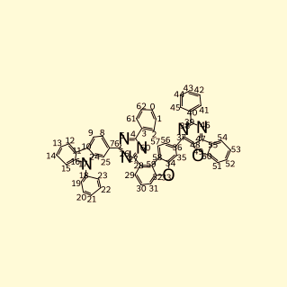 c1ccc(-c2nc(-c3ccc4c5ccccc5n(-c5ccccc5)c4c3)nc(-c3cccc4oc5cc(-c6nc(-c7ccccc7)nc7c6oc6ccccc67)ccc5c34)n2)cc1